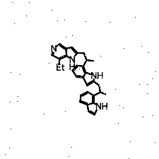 CCc1cncc2cc(CC(C)c3cccc4cc(CC(C)c5cccc6cc[nH]c56)[nH]c34)[nH]c12